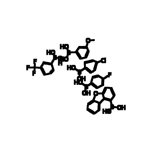 COc1cccc(B(O)O)c1.OB(O)c1ccc(Cl)cc1.OB(O)c1ccc(F)cc1.OB(O)c1cccc(C(F)(F)F)c1.OB(O)c1cccc2oc3ccccc3c12